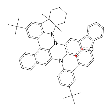 CC(C)(C)c1ccc(N2c3cc4oc5ccccc5c4cc3B3c4c2cc2ccccc2c4-c2cc(C(C)(C)C)cc4c2N3C2(C)CCCCC42C)c(-c2ccccc2)c1